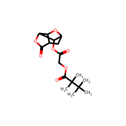 CC(C)(C)C(C)(C)C(=O)OCC(=O)OC1C2CC3C(=O)OC1C3O2